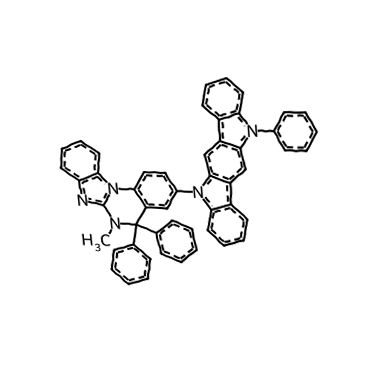 CN1c2nc3ccccc3n2-c2ccc(-n3c4ccccc4c4cc5c(cc43)c3ccccc3n5-c3ccccc3)cc2C1(c1ccccc1)c1ccccc1